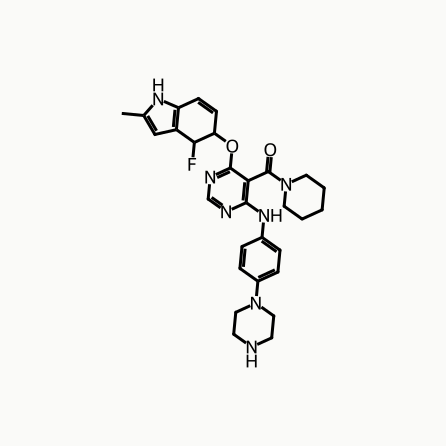 Cc1cc2c([nH]1)C=CC(Oc1ncnc(Nc3ccc(N4CCNCC4)cc3)c1C(=O)N1CCCCC1)C2F